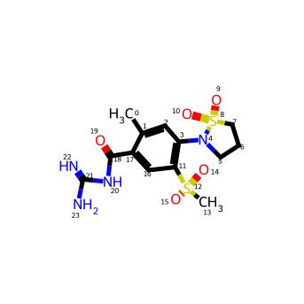 Cc1cc(N2CCCS2(=O)=O)c(S(C)(=O)=O)cc1C(=O)NC(=N)N